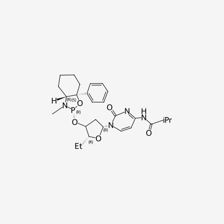 CC[C@H]1O[C@@H](n2ccc(NC(=O)C(C)C)nc2=O)CC1O[P@@]1O[C@]2(c3ccccc3)CCCC[C@H]2N1C